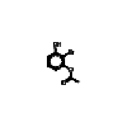 CC(=O)Oc1cccc(O)c1Br